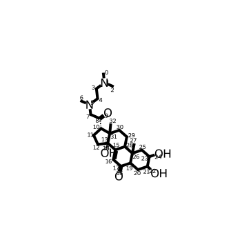 CN(C)CCN(C)CC(=O)[C@H]1CC[C@@]2(O)C3=CC(=O)C4CC(O)C(O)CC4(C)C3CCC12C